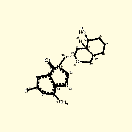 Cc1cc(Cl)cc2c(=O)n(C[C@@H]3C[C@@H]4[C@@H](O)CCCN4CO3)cnc12